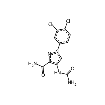 NC(=O)Nc1cn(-c2ccc(Cl)c(Cl)c2)nc1C(N)=O